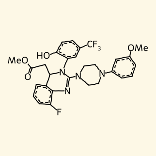 COC(=O)CC1c2cccc(F)c2N=C(N2CCN(c3cccc(OC)c3)CC2)N1c1cc(C(F)(F)F)ccc1O